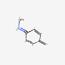 C=C1C=CC(=NCCC)C=C1